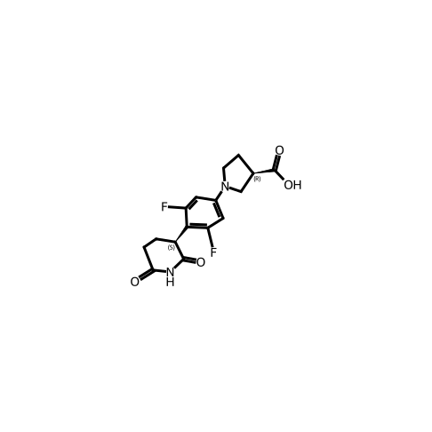 O=C1CC[C@@H](c2c(F)cc(N3CC[C@@H](C(=O)O)C3)cc2F)C(=O)N1